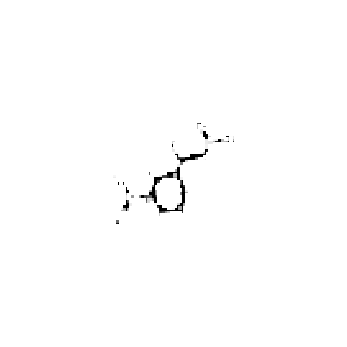 NC(=C[N+](=O)[O-])c1cccc([N+](=O)[O-])c1